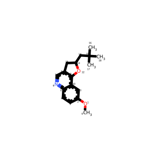 COc1ccc2ncc3c(c2c1)OC(CC(C)(C)C)C3